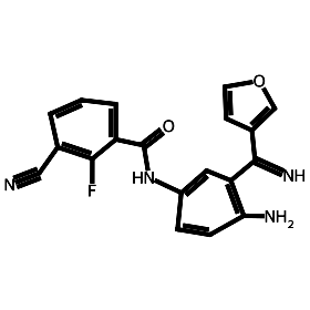 N#Cc1cccc(C(=O)Nc2ccc(N)c(C(=N)c3ccoc3)c2)c1F